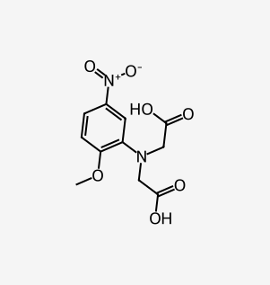 COc1ccc([N+](=O)[O-])cc1N(CC(=O)O)CC(=O)O